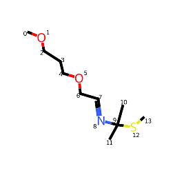 COCCCOC/C=N/C(C)(C)SC